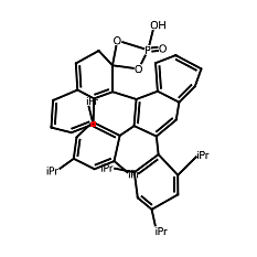 CC(C)c1cc(C(C)C)c(-c2cc3ccccc3c(C3=c4ccccc4=CCC34OP(=O)(O)O4)c2-c2c(C(C)C)cc(C(C)C)cc2C(C)C)c(C(C)C)c1